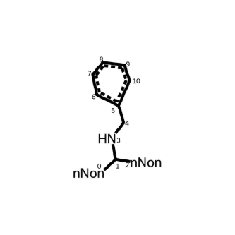 CCCCCCCCCC(CCCCCCCCC)NCc1ccccc1